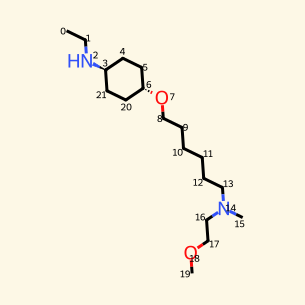 CCN[C@H]1CC[C@H](OCCCCCCN(C)CCOC)CC1